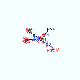 COCCCCCCNC(=O)CCCC(=O)NC(CCC(=O)NCCCNC(=O)CCCCO[C@@H]1OC(CO)[C@H](O)[C@H](O)C1C)(CCC(=O)NCCCNC(=O)CCCCO[C@@H]1OC(CO)[C@H](O)[C@H](O)C1C)CCC(=O)NCCCNC(=O)CCCCO[C@@H]1OC(CO)[C@H](O)[C@H](O)C1C